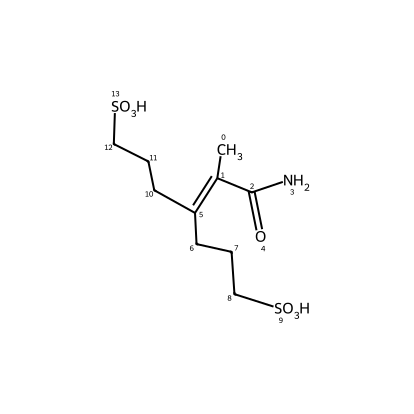 CC(C(N)=O)=C(CCCS(=O)(=O)O)CCCS(=O)(=O)O